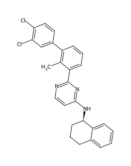 Cc1c(-c2ccc(Cl)c(Cl)c2)cccc1-c1nccc(N[C@@H]2CCCc3ccccc32)n1